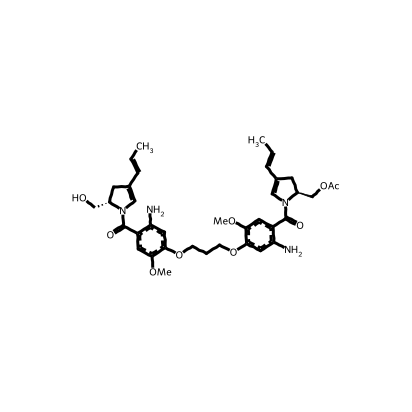 C/C=C/C1=CN(C(=O)c2cc(OC)c(OCCCOc3cc(N)c(C(=O)N4C=C(/C=C/C)C[C@H]4COC(C)=O)cc3OC)cc2N)[C@H](CO)C1